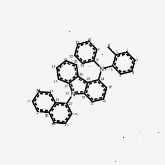 Cc1ccccc1N(c1ccccc1)c1cccc2c1c1ccccc1n2-c1cccc2ccccc12